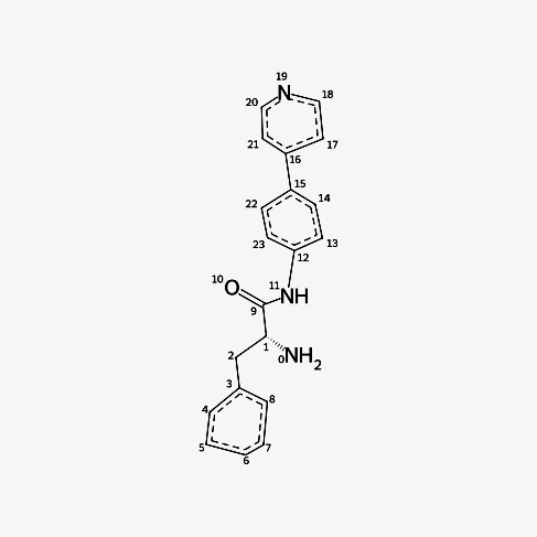 N[C@H](Cc1ccccc1)C(=O)Nc1ccc(-c2ccncc2)cc1